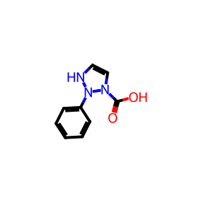 O=C(O)N1C=CNN1c1ccccc1